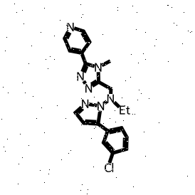 CCN(Cc1nnc(-c2ccncc2)n1C)n1nccc1-c1cccc(Cl)c1